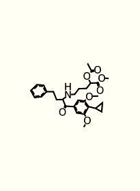 COC(=O)C(CCCNC(CCc1ccccc1)C(=O)c1cc(OC)c(C2CC2)c(OC)c1)OC(C)=O